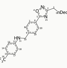 CCCCCCCCCCCc1noc(-c2ccc(CNc3ccc(C(F)(F)F)cc3)cc2)n1